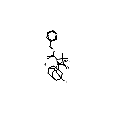 COC(=O)C12CC3C[C@@H](C1)C(N1C(=O)C(C)(C)N1C(=O)OCc1ccccc1)[C@@H](C3)C2